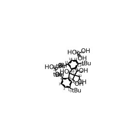 CC(C)(C)c1ccc(C(C)(C)C)c(C(O)(c2cc(C(C)(C)C)ccc2C(C)(C)C)C(CO)(CO)CO)c1.OP(O)O.OP(O)O